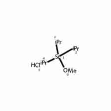 CO[Si](C(C)C)(C(C)C)C(C)C.Cl